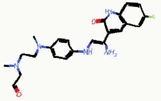 CN(CC=O)CCN(C)c1ccc(N/C=C(\N)c2cc3cc(F)ccc3[nH]c2=O)cc1